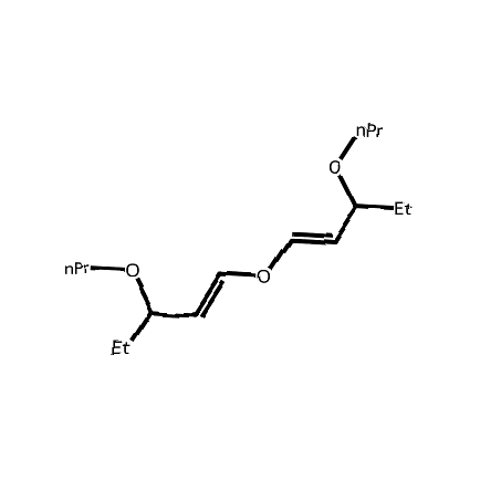 CCCOC(/C=C/O/C=C/C(CC)OCCC)CC